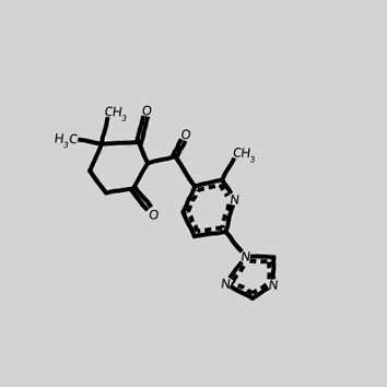 Cc1nc(-n2cncn2)ccc1C(=O)C1C(=O)CCC(C)(C)C1=O